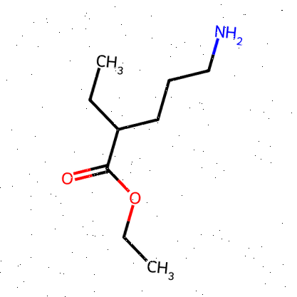 CCOC(=O)C(CC)CCCN